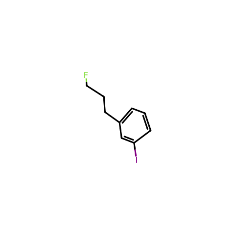 FCCCc1cccc(I)c1